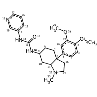 COc1ccc(C23CCC(NC(=O)Nc4cccnc4)CC2N(C)CC3)cc1OC